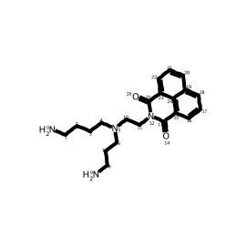 NCCCCN(CCCN)CCN1C(=O)c2cccc3cccc(c23)C1=O